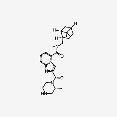 C[C@@H]1CNCCN1C(=O)c1cn2c(C(=O)NC[C@@H]3CC[C@H]4C[C@@H]3C4(C)C)cccc2n1